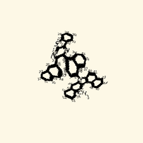 CC12C=c3c(n(-c4ccc(-c5nc6c(nc5-c5ccc7ccccc7c5)sc5ccccc56)c5ccccc45)c4ccc5ccccc5c34)=CC1=CC=CC2